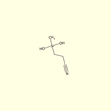 C[Si](O)(O)CCC#N